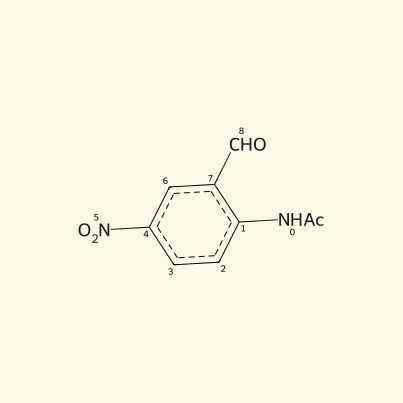 CC(=O)Nc1ccc([N+](=O)[O-])cc1C=O